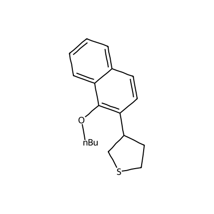 CCCCOc1c(C2CCSC2)ccc2ccccc12